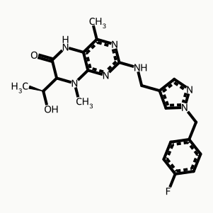 Cc1nc(NCc2cnn(Cc3ccc(F)cc3)c2)nc2c1NC(=O)C([C@H](C)O)N2C